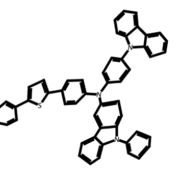 c1ccc(-c2ccc(-c3ccc(N(c4ccc(-n5c6ccccc6c6ccccc65)cc4)c4ccc5c(c4)c4ccccc4n5-c4ccccc4)cc3)s2)cc1